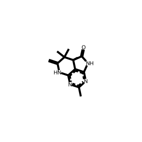 C=C1Nc2nc(C)nc3c2C(C)(C(=O)N3)C1(C)C